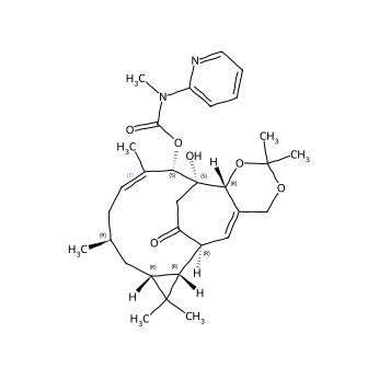 C/C1=C/C[C@H](C)C[C@@H]2[C@H]([C@@H]3C=C4COC(C)(C)O[C@H]4[C@@](O)(CC3=O)[C@H]1OC(=O)N(C)c1ccccn1)C2(C)C